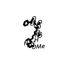 COc1ccc2nccc(CCC(CCC3CN(C4=COC=C(C5=CC=CCC5)O4)C(=O)O3)NS(C)(=O)=O)c2n1